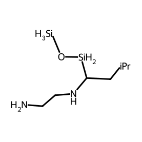 CC(C)CC(NCCN)[SiH2]O[SiH3]